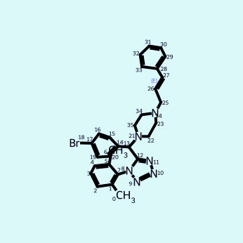 Cc1cccc(C)c1-n1nnnc1C(c1ccc(Br)cc1)N1CCN(C/C=C/c2ccccc2)CC1